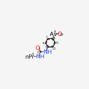 CCCNC(=O)Nc1ccc([As]=O)cc1